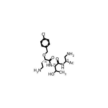 CC(=O)[C@H](CN)NC(=O)[C@@H](NC(=O)[C@H](CCN)OCc1ccc(Cl)cc1)C(C)O